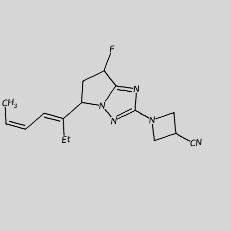 C/C=C\C=C(/CC)C1CC(F)c2nc(N3CC(C#N)C3)nn21